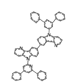 c1ccc(-c2cc(-c3ccccc3)cc(-n3c4ccc(-c5ccc6c(c5)c5ncccc5n6-c5cc(-c6ccccc6)cc(-c6ccccc6)n5)cc4c4ncccc43)c2)cc1